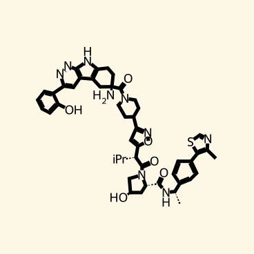 Cc1ncsc1-c1ccc([C@H](C)NC(=O)[C@@H]2C[C@@H](O)CN2C(=O)[C@@H](c2cc(C3CCN(C(=O)[C@@]4(N)CCc5[nH]c6nnc(-c7ccccc7O)cc6c5C4)CC3)no2)C(C)C)cc1